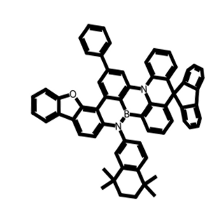 CC1(C)CCC(C)(C)c2cc(N3B4c5cccc6c5N(c5ccccc5C65c6ccccc6-c6ccccc65)c5cc(-c6ccccc6)cc(c54)-c4c3ccc3c4oc4ccccc43)ccc21